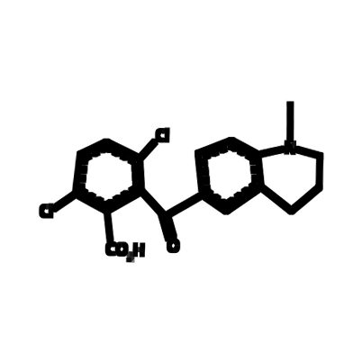 CN1CCCc2cc(C(=O)c3c(Cl)ccc(Cl)c3C(=O)O)ccc21